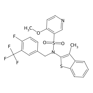 COc1ccncc1S(=O)(=O)N(Cc1ccc(F)c(C(F)(F)F)c1)c1sc2ccccc2c1C